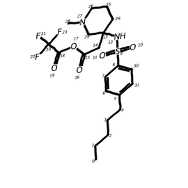 CCCCCc1ccc(S(=O)(=O)NC2(CC(=O)OC(=O)C(F)(F)F)CCCN(C)C2)cc1